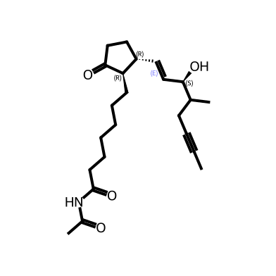 CC#CCC(C)[C@H](O)/C=C/[C@H]1CCC(=O)[C@@H]1CCCCCCC(=O)NC(C)=O